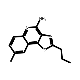 CCCc1nc2c(N)nc3ccc(C)cc3c2s1